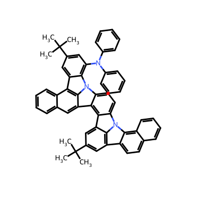 CC(C)(C)c1cc(N(c2ccccc2)c2ccccc2)c2c(c1)c1c3ccccc3cc3c4c5c6cc(C(C)(C)C)cc7c8ccc9ccccc9c8n(c5ccc4n2c31)c76